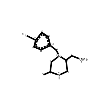 COCC1CNC(C)CN1Cc1ccc(F)cc1